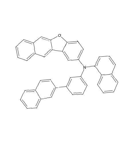 c1cc(-c2ccc3ccccc3c2)cc(N(c2ccc3oc4cc5ccccc5cc4c3c2)c2cccc3ccccc23)c1